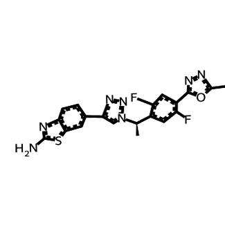 C[C@H](c1cc(F)c(-c2nnc(C(F)F)o2)cc1F)n1cc(-c2ccc3nc(N)sc3c2)nn1